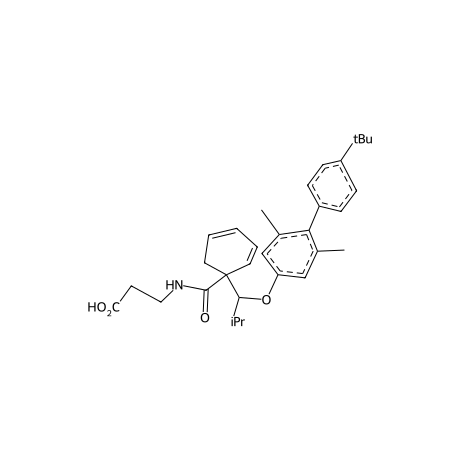 Cc1cc(OC(C(C)C)C2(C(=O)NCCC(=O)O)C=CC=CC2)cc(C)c1-c1ccc(C(C)(C)C)cc1